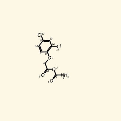 NC(=O)OC(=O)COc1ccc(Cl)cc1Cl